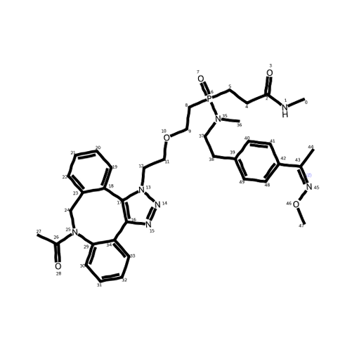 CNC(=O)CCP(=O)(CCOCCn1nnc2c1-c1ccccc1CN(C(C)=O)c1ccccc1-2)N(C)CCc1ccc(/C(C)=N\OC)cc1